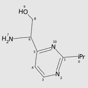 CC(C)c1nccc(C(N)CO)n1